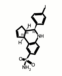 NS(=O)(=O)c1ccc2c(c1)[C@H]1C=CC[C@H]1[C@@H](c1ccc(I)cc1)N2